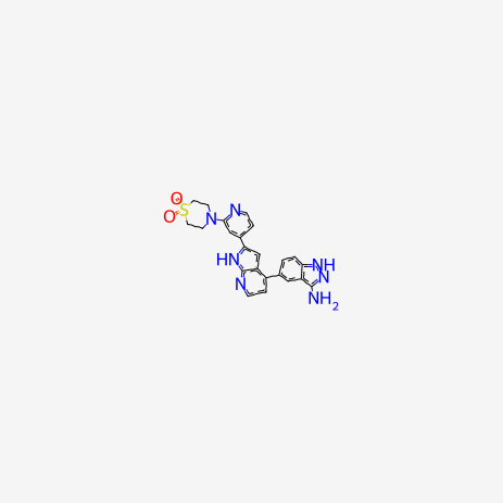 Nc1n[nH]c2ccc(-c3ccnc4[nH]c(-c5ccnc(N6CCS(=O)(=O)CC6)c5)cc34)cc12